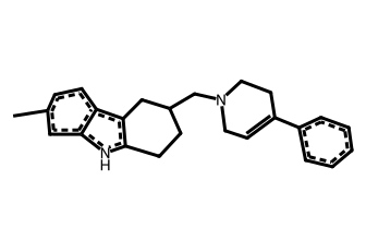 Cc1ccc2c3c([nH]c2c1)CCC(CN1CC=C(c2ccccc2)CC1)C3